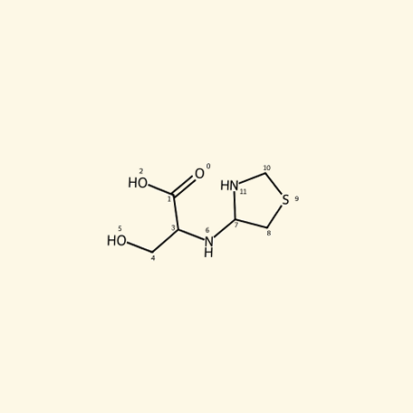 O=C(O)C(CO)NC1CSCN1